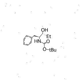 CC[C@@H](O)[C@H](Cc1ccccc1)NC(=O)OC(C)(C)C